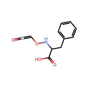 O=C=CONC(Cc1ccccc1)C(=O)O